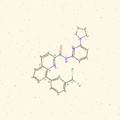 O=C(Nc1cccc(N2CCCC2)n1)c1ccc2cccc(-c3cccc(C(F)F)c3)c2n1